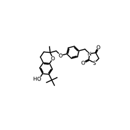 CC1(COc2ccc(CN3C(=O)CSC3=O)cc2)CCc2cc(O)c(C(C)(C)C)cc2O1